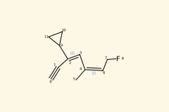 C#C/C(=C\C(C)=C/CF)C1CC1